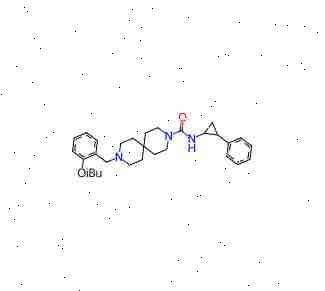 CC(C)COc1ccccc1CN1CCC2(CC1)CCN(C(=O)NC1CC1c1ccccc1)CC2